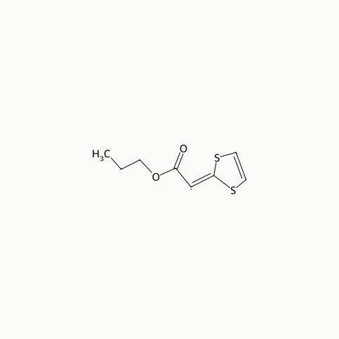 CCCOC(=O)[C]=C1SC=CS1